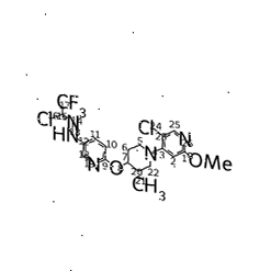 COc1cc(N2CCC(Oc3ccc(N/N=C(\Cl)C(F)(F)F)cn3)C(C)C2)c(Cl)cn1